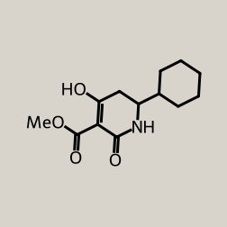 COC(=O)C1=C(O)CC(C2CCCCC2)NC1=O